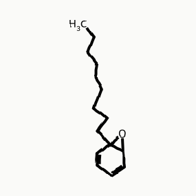 CCCCCCCCCC12C=CC=CC1O2